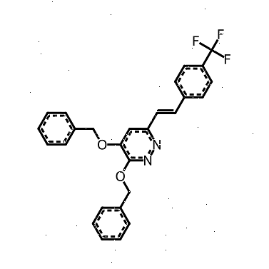 FC(F)(F)c1ccc(/C=C/c2cc(OCc3ccccc3)c(OCc3ccccc3)nn2)cc1